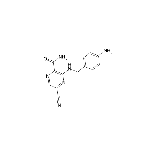 N#Cc1cnc(C(N)=O)c(NCc2ccc(N)cc2)n1